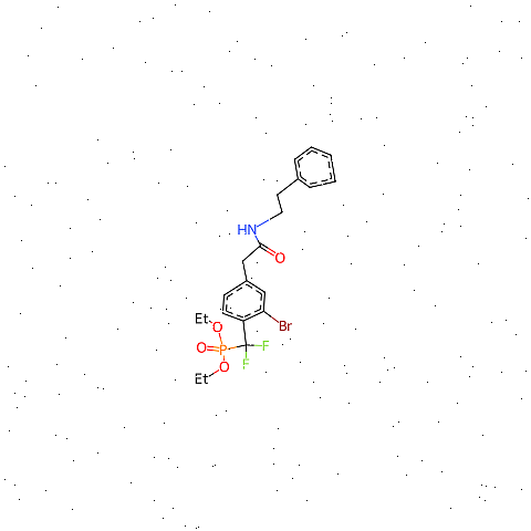 CCOP(=O)(OCC)C(F)(F)c1ccc(CC(=O)NCCc2ccccc2)cc1Br